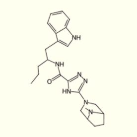 CCCC(Cc1c[nH]c2ccccc12)NC(=O)c1nnc(N2CC3CCC(C2)N3C)[nH]1